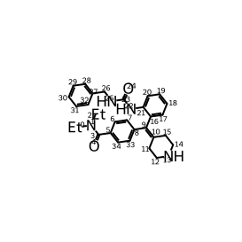 CCN(CC)C(=O)c1ccc(C(=C2CCNCC2)c2ccccc2NC(=O)NCc2ccccc2)cc1